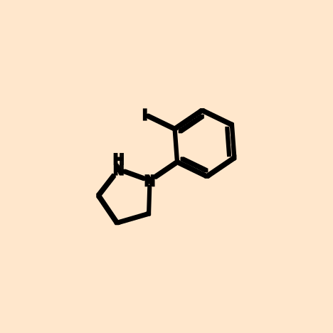 Ic1ccccc1N1CCCN1